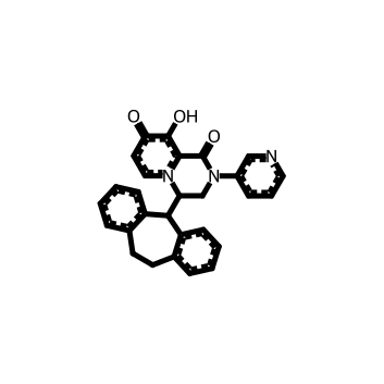 O=C1c2c(O)c(=O)ccn2C(C2c3ccccc3CCc3ccccc32)CN1c1cccnc1